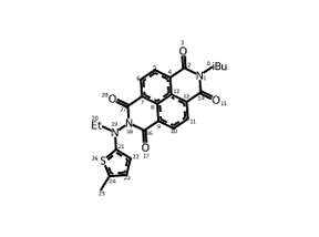 CCC(C)N1C(=O)c2ccc3c4c(ccc(c24)C1=O)C(=O)N(N(CC)c1ccc(C)s1)C3=O